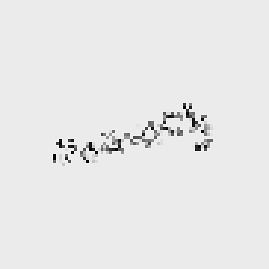 CC(C)c1noc(N2CCC(COc3ccc(C4=CCC(C(=O)N5CC[C@H](CO)C5)CC4)cc3)CC2)n1